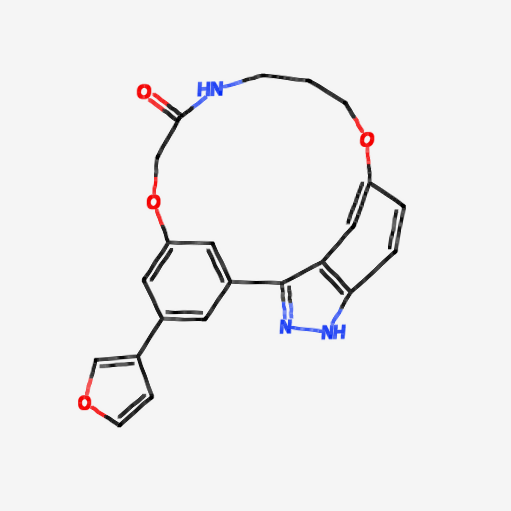 O=C1COc2cc(-c3ccoc3)cc(c2)-c2n[nH]c3ccc(cc23)OCCCN1